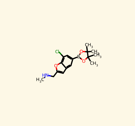 CNCc1cc2cc(B3OC(C)(C)C(C)(C)O3)cc(Cl)c2o1